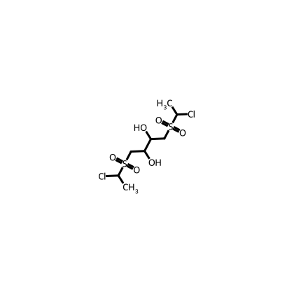 CC(Cl)S(=O)(=O)CC(O)C(O)CS(=O)(=O)C(C)Cl